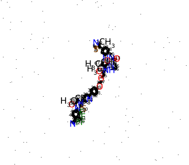 Cc1ncsc1-c1ccc(CNC(=O)[C@@H]2CCCN2C(=O)C(NC(=O)COCCOc2ccc(-c3ccc(N4C(=S)N(c5ccc(C#N)c(C(F)(F)F)c5F)C(=O)C4(C)C)cn3)cc2)C(C)(C)C)cc1